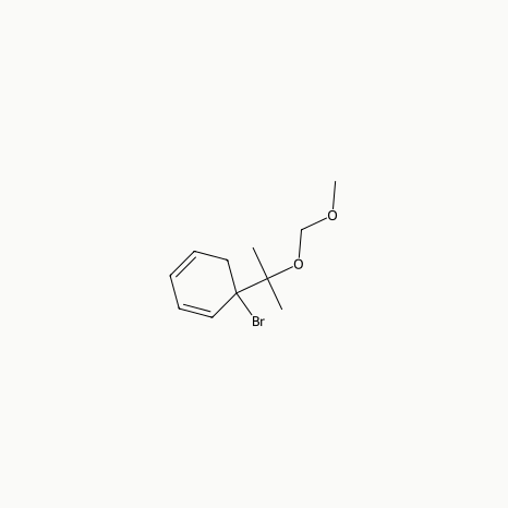 COCOC(C)(C)C1(Br)C=CC=CC1